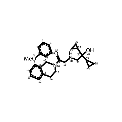 COc1ccccc1[C@H]1c2ccccc2CCN1C(=O)CNCC(O)(C1CC1)C1CC1